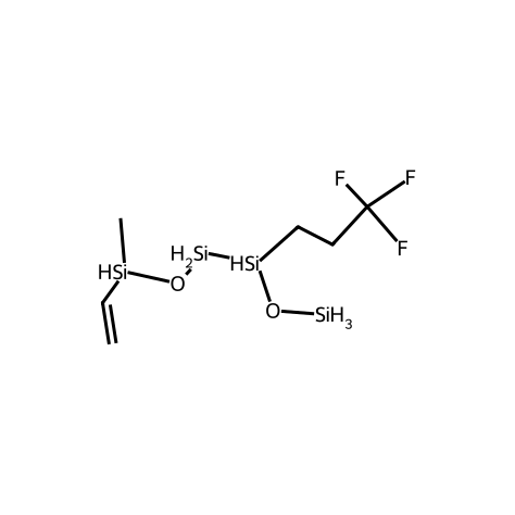 C=C[SiH](C)O[SiH2][SiH](CCC(F)(F)F)O[SiH3]